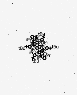 CC(C)c1cc(C(C)(C)CC(C)(C)C)cc(C(C)C)c1Oc1cc2c3c(cc(Oc4c(C(C)C)cc(C(C)(C)CC(C)(C)C)cc4C(C)C)c4c5ccc6c7c(Oc8c(C(C)C)cc(C(C)(C)CC(C)(C)C)cc8C(C)C)cc8c9c(cc(Oc%10c(C(C)C)cc(C(C)(C)CC(C)(C)C)cc%10C(C)C)c(c%10ccc(c1c34)c5c%106)c97)C(=O)N(c1c(C(C)C)cccc1C(C)C)C8=O)C(=O)N(c1c(C(C)C)cccc1C(C)C)C2=O